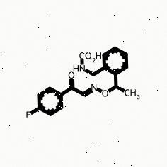 CC(ON=CC(=O)c1ccc(F)cc1)c1ccccc1CNC(=O)O